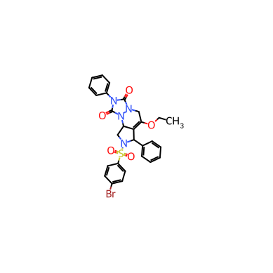 CCOC1=C2C(c3ccccc3)N(S(=O)(=O)c3ccc(Br)cc3)CC2n2c(=O)n(-c3ccccc3)c(=O)n2C1